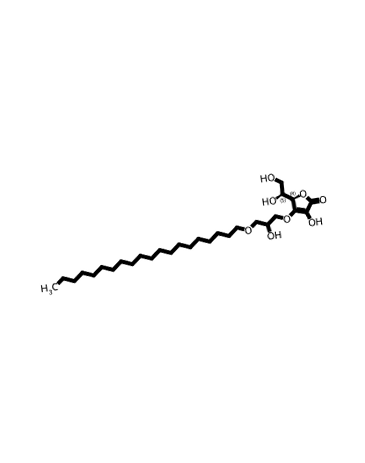 CCCCCCCCCCCCCCCCCCCCOCC(O)COC1=C(O)C(=O)O[C@@H]1[C@@H](O)CO